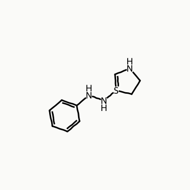 C1=S(NNc2ccccc2)CCN1